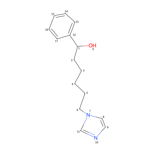 OC(CCCCCn1ccnc1)c1ccccc1